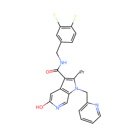 CC(C)c1c(C(=O)NCc2ccc(F)c(F)c2)c2cc(O)ncc2n1Cc1ccccn1